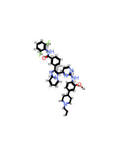 CCCN1CCC(c2ccc(Nc3nccc(-c4c(-c5cccc(C(=O)Nc6c(F)cccc6F)c5)nc5ccccn45)n3)c(OC)c2)CC1